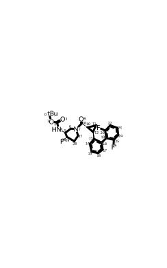 CC(C)(C)OC(=O)N[C@@H]1CN(C(=O)[C@@H]2C[C@H]2c2ccccc2-c2c(F)cccc2F)CC[C@@H]1F